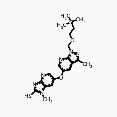 Cc1nn(COCC[Si](C)(C)C)c2ncc(Oc3cnc4nc(S)n(C)c4c3)cc12